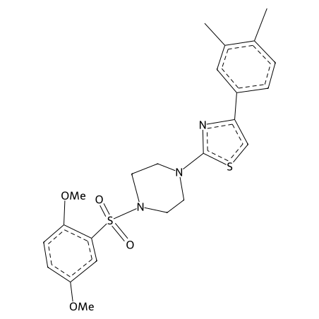 COc1ccc(OC)c(S(=O)(=O)N2CCN(c3nc(-c4ccc(C)c(C)c4)cs3)CC2)c1